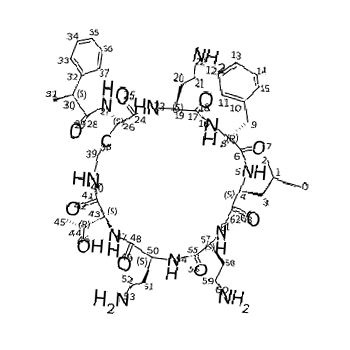 CC(C)C[C@@H]1NC(=O)[C@@H](Cc2ccccc2)NC(=O)[C@H](CCN)NC(=O)[C@@H](NC(=O)[C@@H](C)c2ccccc2)CCNC(=O)[C@H]([C@@H](C)O)NC(=O)[C@H](CCN)NC(=O)[C@H](CCN)NC1=O